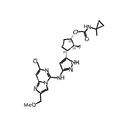 COCc1cn2c(Nc3cc([C@@H]4CC[C@H](OC(=O)NC5(C)CC5)[C@H]4F)[nH]n3)nc(Cl)cc2n1